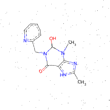 Cc1nc2c([nH]1)C(=O)N(Cc1ccccn1)C(O)N2C